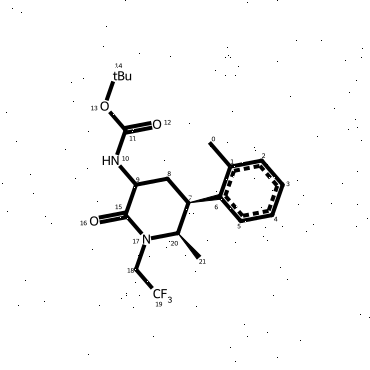 Cc1ccccc1[C@@H]1CC(NC(=O)OC(C)(C)C)C(=O)N(CC(F)(F)F)[C@@H]1C